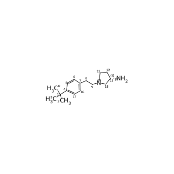 CC(C)(C)c1ccc(CCN2CC[C@H](N)C2)cc1